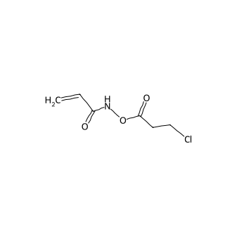 C=CC(=O)NOC(=O)CCCl